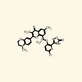 Cc1cc([C@@H](C)Oc2ccc(Cl)nc2-c2noc(=O)[nH]2)c2oc(-c3ccc4c(c3)OCCN4C)c(C)c(=O)c2c1